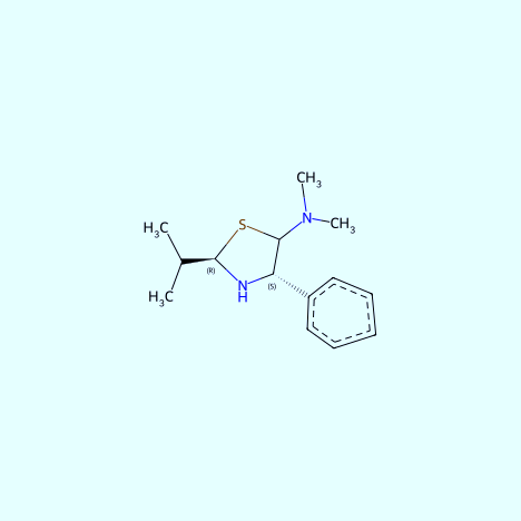 CC(C)[C@@H]1N[C@@H](c2ccccc2)C(N(C)C)S1